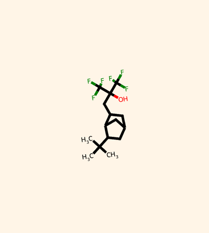 CC(C)(C)C1CC2CC(CC(O)(C(F)(F)F)C(F)(F)F)C1C2